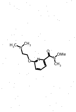 CON(C)C(=O)c1cccc(OCCN(C)C)n1